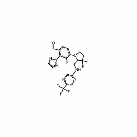 O=Cc1ccc(N2CCC(F)(F)[C@H]2CNc2cnc(C(F)(F)F)cn2)c(F)c1-n1nccn1